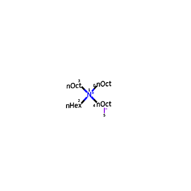 CCCCCCCC[N+](CCCCCC)(CCCCCCCC)CCCCCCCC.[I-]